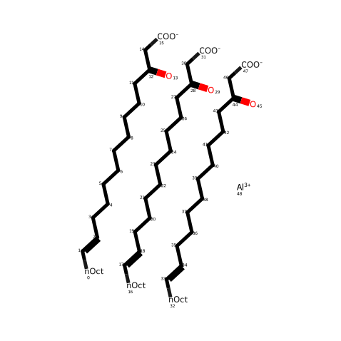 CCCCCCCCC=CCCCCCCCCCC(=O)CC(=O)[O-].CCCCCCCCC=CCCCCCCCCCC(=O)CC(=O)[O-].CCCCCCCCC=CCCCCCCCCCC(=O)CC(=O)[O-].[Al+3]